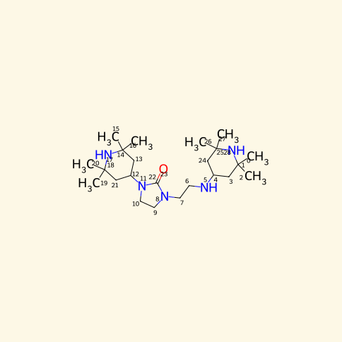 CC1(C)CC(NCCN2CCN(C3CC(C)(C)NC(C)(C)C3)C2=O)CC(C)(C)N1